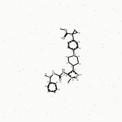 COC(=O)C1(c2ccc(N3CCC(c4nnn(C)c4NC(=O)O[C@H](C)c4ccccc4)CC3)cc2)CC1